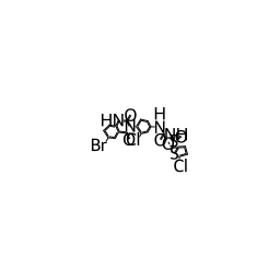 O=C(Nc1ccc(-n2c(=O)[nH]c3ccc(Br)cc3c2=O)c(Cl)c1)NS(=O)(=O)c1ccc(Cl)s1